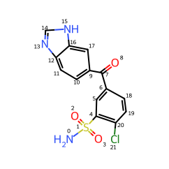 NS(=O)(=O)c1cc(C(=O)c2ccc3nc[nH]c3c2)ccc1Cl